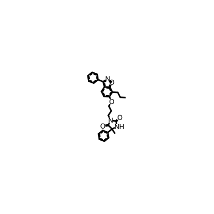 CCCc1c(OCCCN2C(=O)NC(C)(c3ccccc3)C2=O)ccc2c(-c3ccccc3)noc12